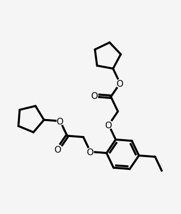 CCc1ccc(OCC(=O)OC2CCCC2)c(OCC(=O)OC2CCCC2)c1